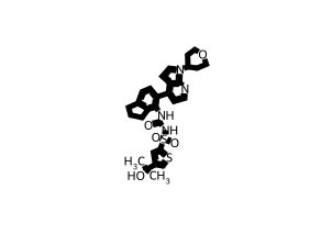 CC(C)(O)c1csc(S(=O)(=O)NC(=O)Nc2c(-c3ccnc4c3ccn4C3CCOCC3)ccc3c2CCC3)c1